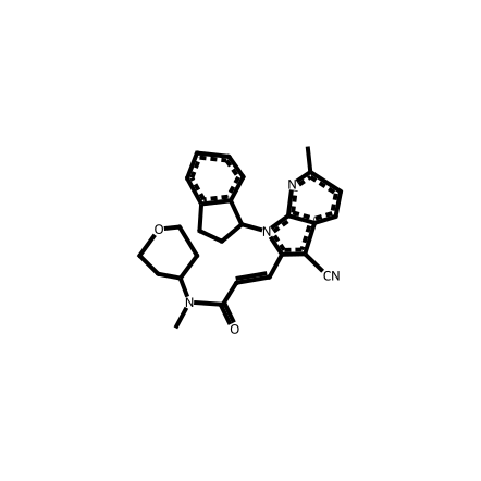 Cc1ccc2c(C#N)c(/C=C/C(=O)N(C)C3CCOCC3)n(C3CCc4ccccc43)c2n1